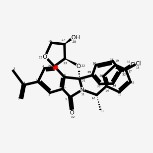 C=C(C)c1ccc2c(c1)C(=O)N([C@@H](C)c1ccc(Cl)cc1)[C@]2(O[C@H]1COC[C@H]1O)c1ccc(Cl)cc1